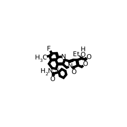 CC[C@@]1(O)C(=O)OCc2c1cc1n(c2=O)Cc2c-1nc1cc(F)c(C)c3c1c2[C@@H](C1(C(N)=O)CCCCC1)CC3